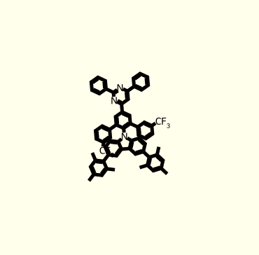 Cc1cc(C)c(-c2ccc3c(c2)c2cc(-c4c(C)cc(C)cc4C)ccc2n3-c2c(-c3cccc(C(F)(F)F)c3)cc(-c3cc(-c4ccccc4)nc(-c4ccccc4)n3)cc2-c2cccc(C(F)(F)F)c2)c(C)c1